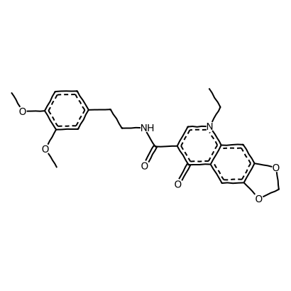 CCn1cc(C(=O)NCCc2ccc(OC)c(OC)c2)c(=O)c2cc3c(cc21)OCO3